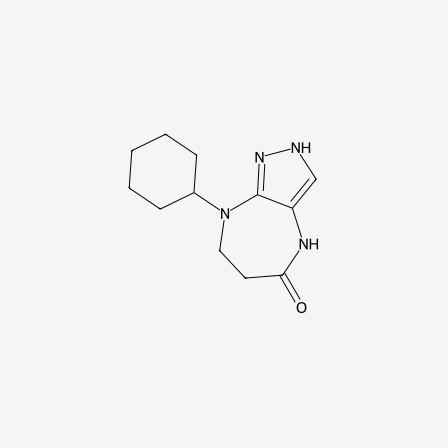 O=C1CCN(C2CCCCC2)c2n[nH]cc2N1